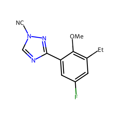 CCc1cc(F)cc(-c2ncn(C#N)n2)c1OC